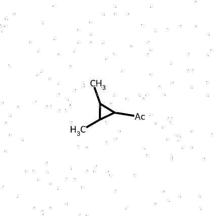 CC(=O)C1C(C)C1C